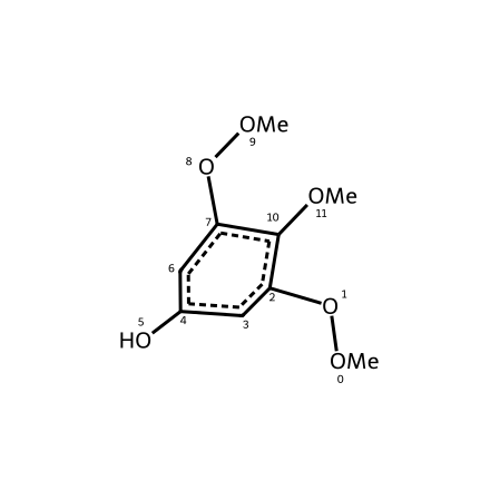 COOc1cc(O)cc(OOC)c1OC